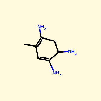 CC1=C(N)CC(N)C(N)=C1